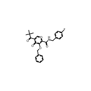 CC(C)(C)C(=O)c1coc(C(=O)NCc2ccc(F)cc2)c(OCc2ccccc2)c1=O